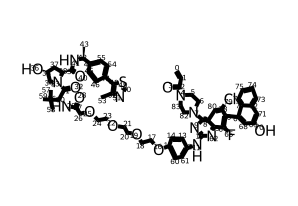 C=CC(=O)N1CCN(c2nc(Nc3ccc(OCCOCCOCCOCC(=O)N[C@H](C(=O)N4C[C@H](O)C[C@H]4C(=O)N[C@@H](C)c4ccc(-c5scnc5C)cc4)C(C)(C)C)cc3)nc3c(F)c(-c4cc(O)cc5ccccc45)c(Cl)cc23)CC1